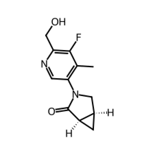 Cc1c(N2C[C@H]3C[C@H]3C2=O)cnc(CO)c1F